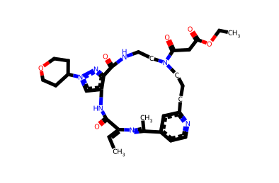 C/C=C1\N=C(/C)c2ccnc(c2)CCCN(C(=O)CC(=O)OCC)CCNC(=O)c2nn(C3CCOCC3)cc2NC1=O